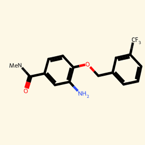 CNC(=O)c1ccc(OCc2cccc(C(F)(F)F)c2)c(N)c1